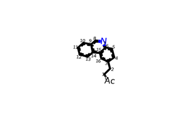 CC(=O)CCc1ccc2ncc3ccccc3c2c1